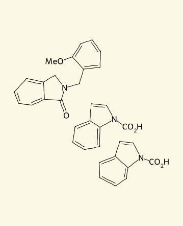 COc1ccccc1CN1Cc2ccccc2C1=O.O=C(O)n1ccc2ccccc21.O=C(O)n1ccc2ccccc21